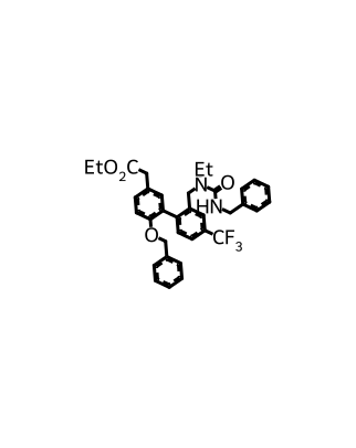 CCOC(=O)Cc1ccc(OCc2ccccc2)c(-c2ccc(C(F)(F)F)cc2CN(CC)C(=O)NCc2ccccc2)c1